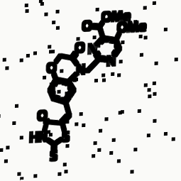 COC(=O)c1nc(CN2C(=O)COc3ccc(C=C4SC(=S)NC4=O)cc32)ncc1OC